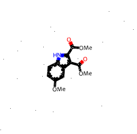 COC(=O)c1[nH]c2ccc(OC)cc2c1C(=O)OC